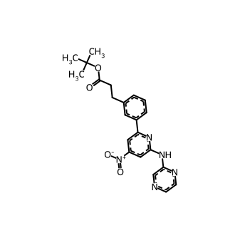 CC(C)(C)OC(=O)CCc1cccc(-c2cc([N+](=O)[O-])cc(Nc3cnccn3)n2)c1